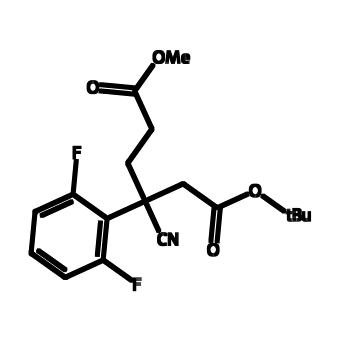 COC(=O)CCC(C#N)(CC(=O)OC(C)(C)C)c1c(F)cccc1F